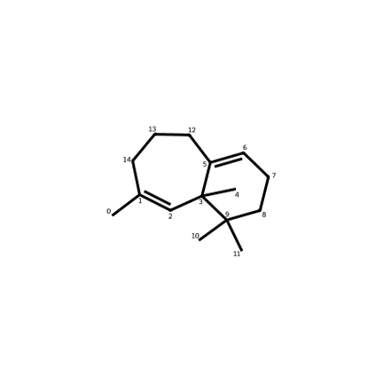 CC1=CC2(C)C(=CCCC2(C)C)CCC1